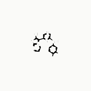 Fc1ccc(Nc2cncc(-c3c(C(F)(F)F)nc4ccccn34)n2)cc1F